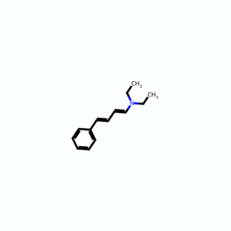 CCN(C=CC=Cc1ccccc1)CC